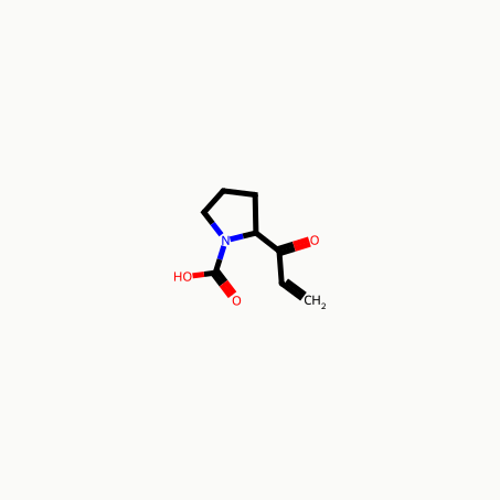 C=CC(=O)C1CCCN1C(=O)O